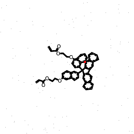 C=CC(=O)OCCOc1ccc2cc(C3(c4ccc(OCCOC(=O)C=C)c5ccccc45)c4cc5ccccc5cc4-c4cc5ccccc5cc43)ccc2c1